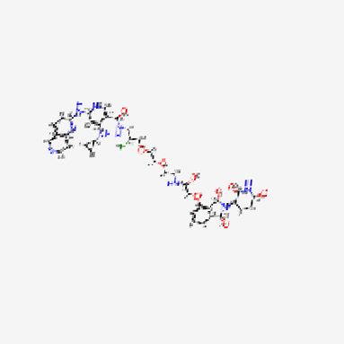 O=C(COc1cccc2c1C(=O)N(C1CCC(=O)NC1=O)C2=O)NCCOCCOCC(F)CNC(=O)c1cnc(Nc2ccc3cnccc3n2)cc1NC1CC1